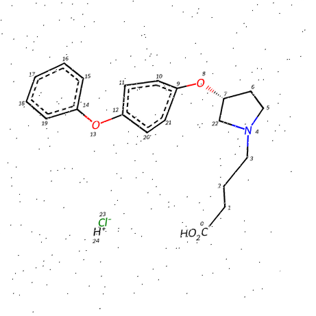 O=C(O)CCCN1CC[C@@H](Oc2ccc(Oc3ccccc3)cc2)C1.[Cl-].[H+]